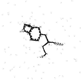 CNC(CCF)Cc1ccc2occc2c1